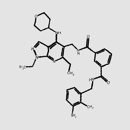 Bc1cccc(CNC(=O)c2cccc(C(=O)NCc3c(CC)nc4c(cnn4CC)c3NC3CCOCC3)c2)c1C